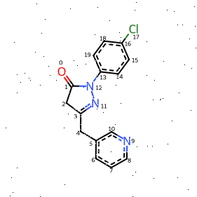 O=C1CC(Cc2cccnc2)=NN1c1ccc(Cl)cc1